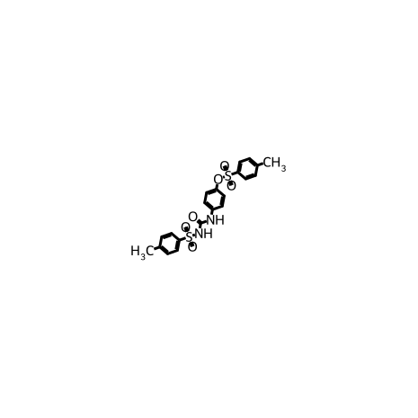 Cc1ccc(S(=O)(=O)NC(=O)Nc2ccc(OS(=O)(=O)c3ccc(C)cc3)cc2)cc1